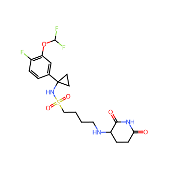 O=C1CCC(NCCCCS(=O)(=O)NC2(c3ccc(F)c(OC(F)F)c3)CC2)C(=O)N1